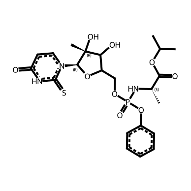 CC(C)OC(=O)[C@H](C)NP(=O)(OCC1O[C@@H](n2ccc(=O)[nH]c2=S)[C@](C)(O)C1O)Oc1ccccc1